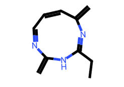 C=c1cccnc(=C)[nH]c(CC)n1